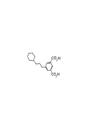 O=C(O)c1cc(CCCC2CCCCC2)cc(C(=O)O)c1